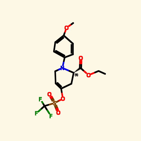 CCOC(=O)[C@@H]1CC(OS(=O)(=O)C(F)(F)F)=CCN1c1ccc(OC)cc1